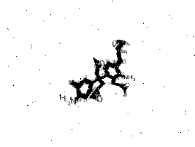 Cc1cc(C(CC2CO2)(CC2CO2)c2ccc(CC3CO3)c(N)c2CC2CO2)ccc1N